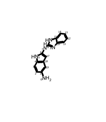 Nc1ccc2[nH]c(Nc3nc4ccccc4[nH]3)cc2c1